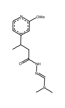 COc1cc(C(C)CC(=O)NN=CN(C)C)ccn1